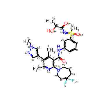 Cc1c(C(=O)Nc2cccc(S(C)(=O)=NC(=O)C(C)O)c2)c(N2CCCC(F)(F)CC2)nc(C(F)(F)F)c1-c1cnn(C)c1